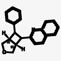 c1ccc(C2C(c3ccc4ccccc4n3)[C@H]3COC[C@@H]23)cc1